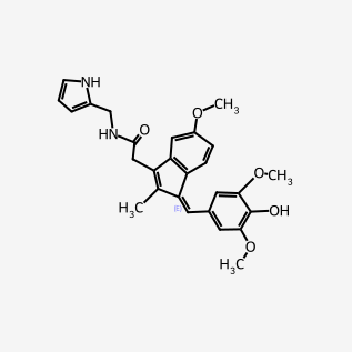 COc1ccc2c(c1)C(CC(=O)NCc1ccc[nH]1)=C(C)/C2=C/c1cc(OC)c(O)c(OC)c1